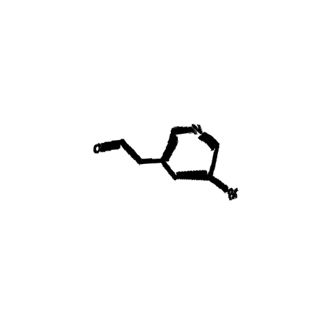 O=CCc1cncc(Br)c1